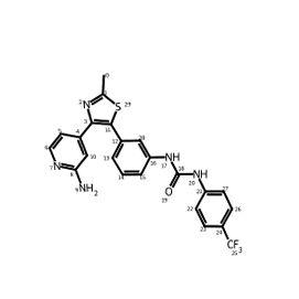 Cc1nc(-c2ccnc(N)c2)c(-c2cccc(NC(=O)Nc3ccc(C(F)(F)F)cc3)c2)s1